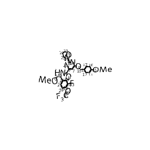 COC[C@@H](NC(=O)c1cc(OCc2ccc(OC)cc2)nc(N2CCCO2)n1)c1ccc(OC(F)(F)F)c(F)c1